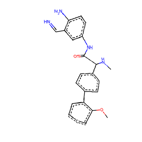 CNC(C(=O)Nc1ccc(N)c(C=N)c1)c1ccc(-c2ccccc2OC)cc1